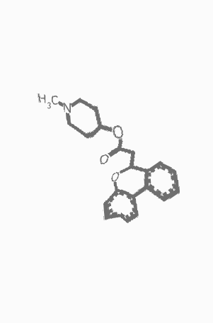 CN1CCC(OC(=O)CC2Oc3ccccc3-c3ccccc32)CC1